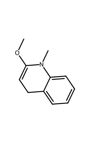 COC1=CCc2ccccc2N1C